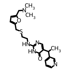 CC(c1cccnc1)c1cnc(NCCSCc2ccc(CN(C)C)o2)[nH]c1=O